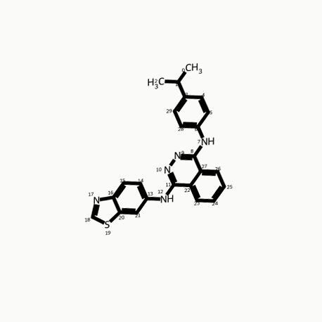 CC(C)c1ccc(Nc2nnc(Nc3ccc4ncsc4c3)c3ccccc23)cc1